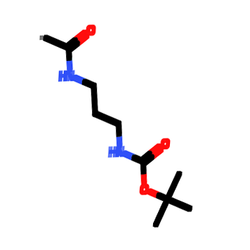 [CH2]C(=O)NCCCNC(=O)OC(C)(C)C